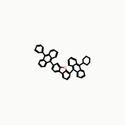 c1ccc(-c2c3ccccc3c(-c3ccc4c(c3)oc3c(-c5c6ccccc6c(C6CCCCC6)c6ccccc56)cccc34)c3ccccc23)cc1